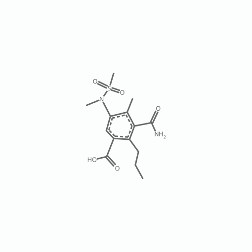 CCCc1c(C(=O)O)cc(N(C)S(C)(=O)=O)c(C)c1C(N)=O